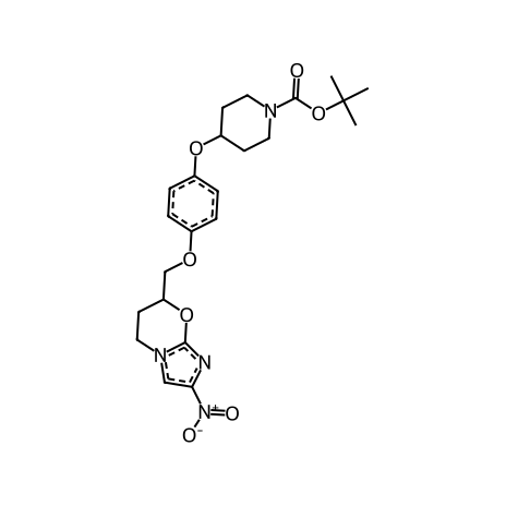 CC(C)(C)OC(=O)N1CCC(Oc2ccc(OCC3CCn4cc([N+](=O)[O-])nc4O3)cc2)CC1